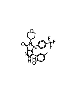 Cc1ccc(O)c(-c2[nH]nc3c2[C@H](c2ccc(C(F)(F)F)cc2)N(C2CCOCC2)C3=O)c1